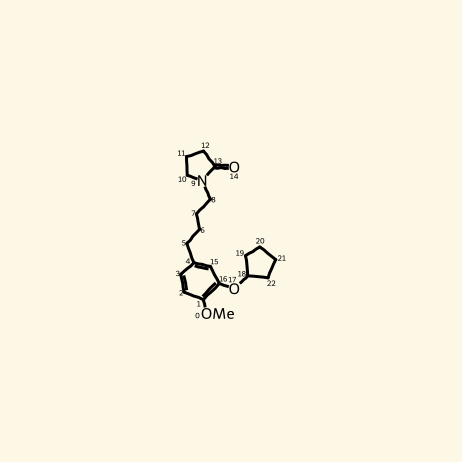 COc1ccc(CCCCN2CCCC2=O)cc1OC1CCCC1